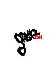 CC1(O)CC[C@H]2[C@@H]3CCC4CC=CC(Cc5ccccc5)[C@]4(C)[C@@H]3CC[C@@]21C